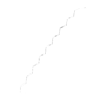 CCCCCCCCCCC/C=C/C=C/C=C/C=C/C=C/C=C/C=C/C=C/C(=O)O